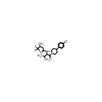 CC(C)C(NC(=O)CC(C)C(F)(F)F)C(=O)N1CCC(c2ccc(Cl)cc2)CC1